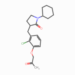 CC(=O)COc1cccc(CC2CCN(C3CCCCC3)C2=O)c1Cl